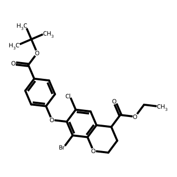 CCOC(=O)C1CCOc2c1cc(Cl)c(Oc1ccc(C(=O)OC(C)(C)C)cc1)c2Br